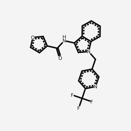 O=C(Nc1cn(Cc2ccc(C(F)(F)F)nc2)c2ccccc12)c1ccoc1